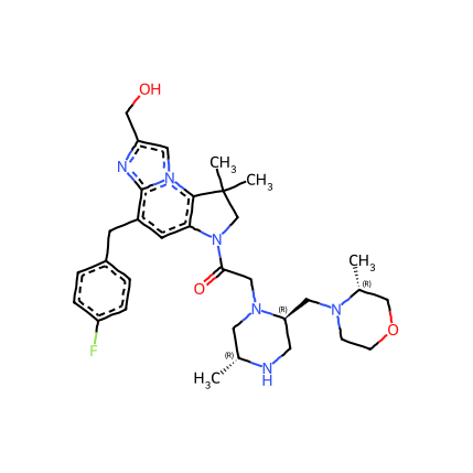 C[C@@H]1CN(CC(=O)N2CC(C)(C)c3c2cc(Cc2ccc(F)cc2)c2nc(CO)cn32)[C@@H](CN2CCOC[C@H]2C)CN1